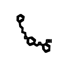 Oc1ccccc1OCc1ccc(OCCCCc2ccccc2)cc1